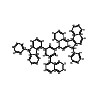 c1ccc(-n2c3ccccc3c3c(-c4nc(-c5cccc6ccccc56)nc(-c5cc6c(c7ccccc57)c5c7ccccc7ccc5n6-c5ccccc5)n4)cccc32)cc1